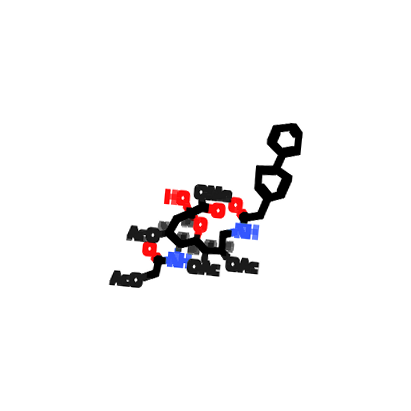 COC(=O)[C@@]1(O)C[C@H](OC(C)=O)[C@@H](NC(=O)COC(C)=O)[C@H]([C@H](OC(C)=O)[C@@H](CNC(=O)Cc2ccc(-c3ccccc3)cc2)OC(C)=O)O1